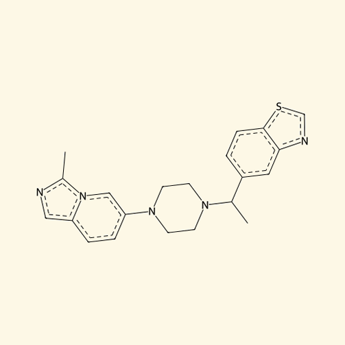 Cc1ncc2ccc(N3CCN(C(C)c4ccc5scnc5c4)CC3)cn12